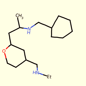 CCNCC1CCOC(CC(C)NCC2CCCCC2)C1